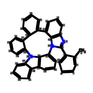 Cc1ccccc1-c1nc2cccc3c4ccccc4c4ccccc4n4c5ccccc5c5cccc(c54)n1c23